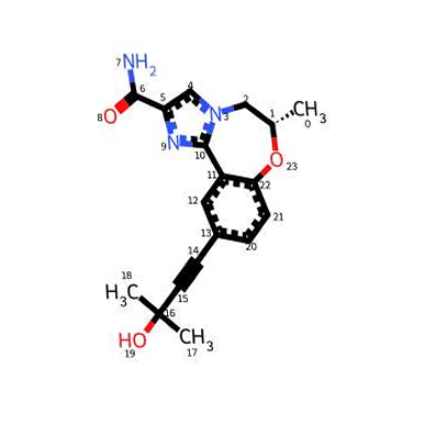 C[C@H]1Cn2cc(C(N)=O)nc2-c2cc(C#CC(C)(C)O)ccc2O1